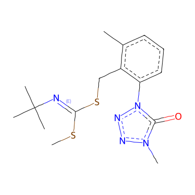 CS/C(=N\C(C)(C)C)SCc1c(C)cccc1-n1nnn(C)c1=O